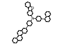 c1ccc2c(-c3ccc(N(c4ccc(-c5ccc6c(ccc7c8ccccc8ccc67)c5)cc4)c4ccc5c(c4)oc4ccccc45)cc3)cccc2c1